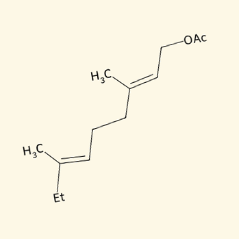 [CH2]C/C(C)=C/CC/C(C)=C/COC(C)=O